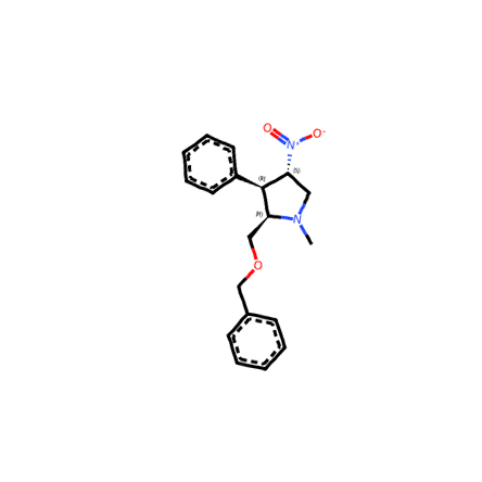 CN1C[C@@H]([N+](=O)[O-])[C@H](c2ccccc2)[C@@H]1COCc1ccccc1